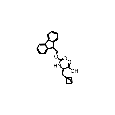 O=C(NC(CC12CC(C1)C2)C(=O)O)OCC1c2ccccc2-c2ccccc21